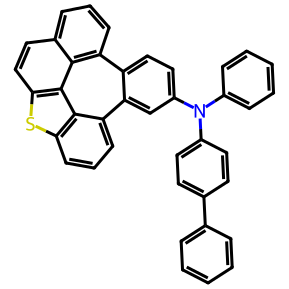 c1ccc(-c2ccc(N(c3ccccc3)c3ccc4c(c3)-c3cccc5sc6ccc7cccc-4c7c6c35)cc2)cc1